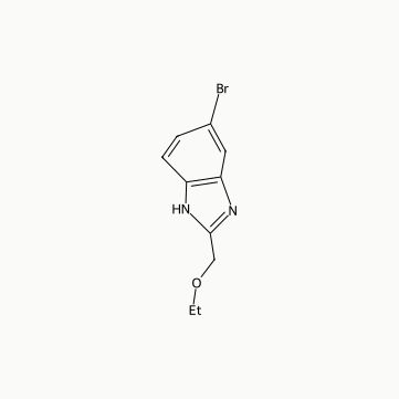 CCOCc1nc2cc(Br)ccc2[nH]1